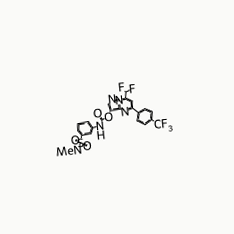 CNS(=O)(=O)c1cccc(NC(=O)Oc2cnn3c(C(F)F)cc(-c4ccc(C(F)(F)F)cc4)nc23)c1